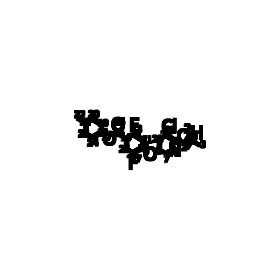 [2H]C(C)(C)Oc1ncc(Oc2cc(F)c(C(=O)Oc3ccc(C)cc3)cc2F)cc1Cl